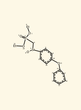 CCOP(=O)(C[S+]([O-])c1ccc(Oc2ccccc2)cc1)OCC